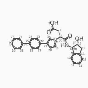 O=C(O)C[C@H](C(=O)N[C@@H]1c2ccccc2C[C@H]1O)n1ccc(-c2ccc(-c3ccncc3)cc2)c1